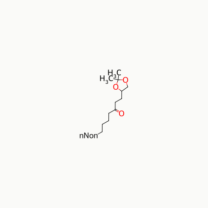 CCCCCCCCCCCCCC(=O)CCC1COC(C)(C)O1